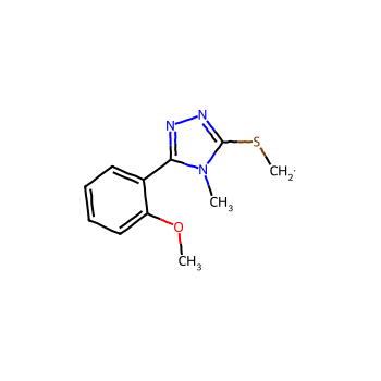 [CH2]Sc1nnc(-c2ccccc2OC)n1C